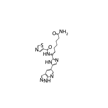 NC(=O)CCCCC[C@H](NC(=O)c1cncs1)c1ncc(-c2cnc3[nH]ncc3c2)[nH]1